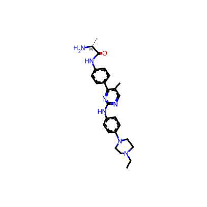 CCN1CCN(c2ccc(Nc3ncc(C)c(-c4ccc(NC(=O)[C@@H](C)N)cc4)n3)cc2)CC1